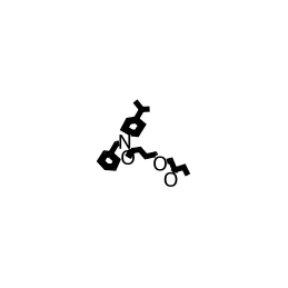 CCC(=O)COCCCC(=O)N(Cc1ccccc1)c1ccc(C(C)C)cc1